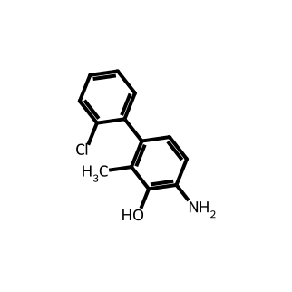 Cc1c(-c2ccccc2Cl)ccc(N)c1O